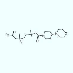 COC(=O)CC(C)(C)CCC(C)(C)CC(=O)N1CCC(N2CCOCC2)CC1